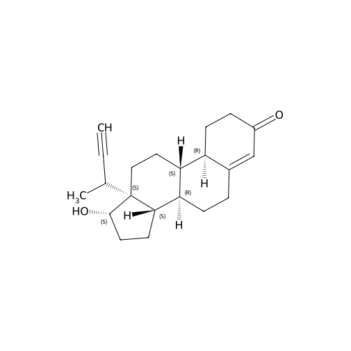 C#CC(C)[C@]12CC[C@H]3[C@@H](CCC4=CC(=O)CC[C@@H]43)[C@@H]1CC[C@@H]2O